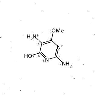 COc1nc(N)nc(O)c1N